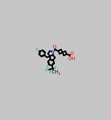 CC(F)(c1ccc2c(c1)CC1N(C(=O)C3CC4(CC(C(=O)O)C4)C3)CCC21Cc1ccc(F)cc1)C(F)(F)F